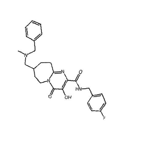 CN(Cc1ccccc1)CC1CCc2nc(C(=O)NCc3ccc(F)cc3)c(O)c(=O)n2CC1